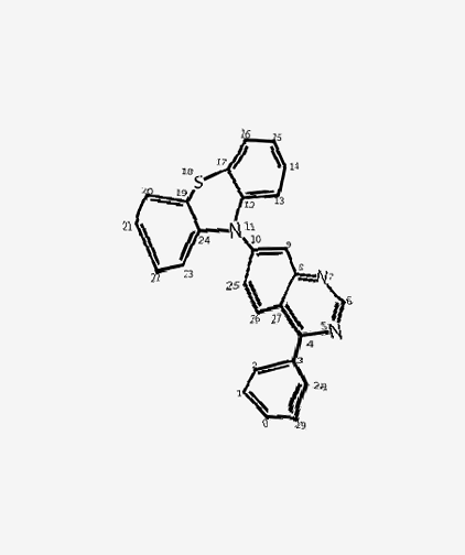 c1ccc(-c2ncnc3cc(N4c5ccccc5Sc5ccccc54)ccc23)cc1